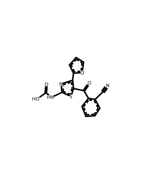 N#Cc1ccccc1C(=O)c1sc(NC(=O)O)nc1-c1ccco1